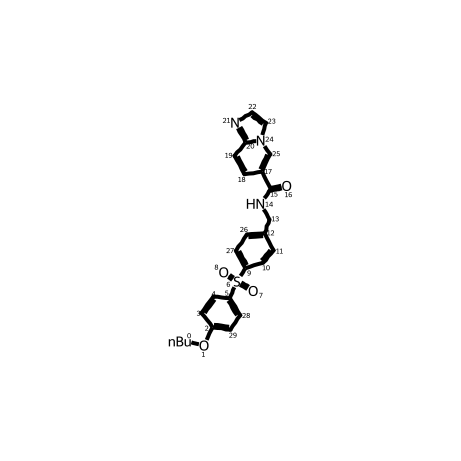 CCCCOc1ccc(S(=O)(=O)c2ccc(CNC(=O)c3ccc4nccn4c3)cc2)cc1